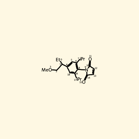 CCC(COC)c1cc(C(C)C)c(N2C(=O)C=CC2=O)c(C(C)C)c1